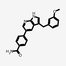 COc1cccc(Cc2c[nH]c3ncc(-c4ccc(C(N)=O)cc4)cc23)c1